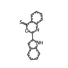 S=c1oc(-c2cc3ccccc3[nH]2)nc2ccccc12